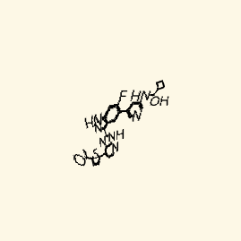 CC(=O)c1ccc(-c2ccnc3[nH]c(-c4n[nH]c5cc(F)c(-c6cncc(NC(O)C7CCC7)c6)cc45)nc23)s1